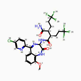 COc1cccc2c1NC(=O)C(NC(=O)[C@H](CCC(F)(F)F)[C@H](CCC(F)(F)F)C(N)=O)N=C2c1ccc(Cl)cn1